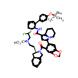 CC(C)(C)[Si](C)(C)Oc1ccc(-c2ccccc2NC(=O)c2cc(-c3cc4c(cc3C(=O)N3Cc5ccccc5C[C@H]3CCN(CC(F)F)C(=O)O)OCO4)n3c2CCCC3)cc1